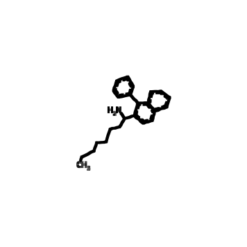 CCCCCCCC(N)c1ccc2ccccc2c1-c1ccccc1